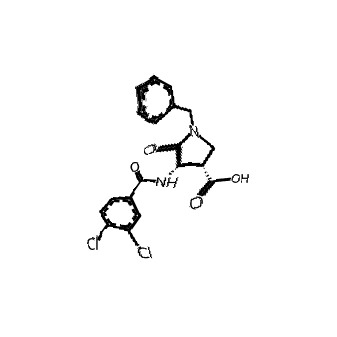 O=C(N[C@@H]1C(=O)N(Cc2ccccc2)C[C@@H]1C(=O)O)c1ccc(Cl)c(Cl)c1